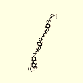 [CH2+][CH-]CCOc1ccc(OCCCCCCOC2CCC(OCCCCOC3CCC(c4ccc(C)c(F)c4)CC3)CC2)cc1